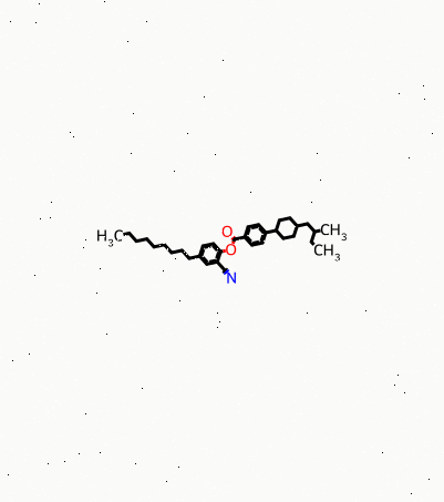 CCCCCCCCCc1ccc(OC(=O)c2ccc(C3CCC(CC(C)CC)CC3)cc2)c(C#N)c1